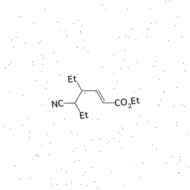 CCOC(=O)C=CC(CC)C(C#N)CC